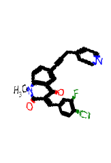 CN1C(=O)/C(=C/c2ccc(Cl)c(F)c2)C(=O)c2cc(C#CCc3ccncc3)ccc21